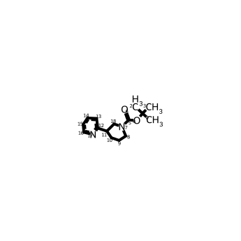 CC(C)(C)OC(=O)N1CCCC(c2ccccn2)C1